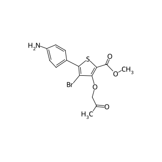 COC(=O)c1sc(-c2ccc(N)cc2)c(Br)c1OCC(C)=O